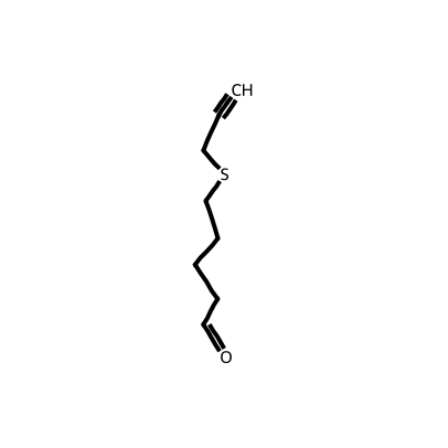 C#CCSCCCCC=O